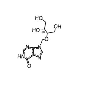 O=c1[nH]cnc2c1ncn2COC(CO)[C@H](O)CO